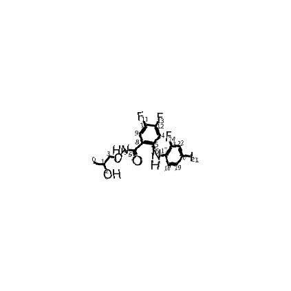 CC(O)CONC(=O)c1cc(F)c(F)cc1Nc1ccc(I)cc1F